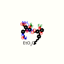 CCOC(=O)C(C)(C)CCCCc1ccc(C2Oc3cccc(OC(F)F)c3-c3ccc(CS(N)(=O)=O)cc32)cc1.CN(C)C(=O)CN(C)c1cccc(C2Oc3cccc(OC(F)F)c3-c3ccc(CS(N)(=O)=O)cc32)c1